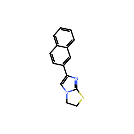 c1ccc2cc(-c3cn4c(n3)SCC4)ccc2c1